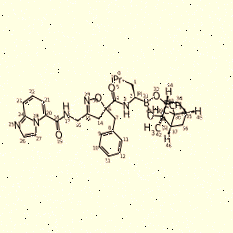 CC(C)C[C@H](NC(=O)C1(Cc2ccccc2)CC(CNC(=O)c2cccc3nccn23)=NO1)B1O[C@@H]2C[C@@H]3C[C@@H](C3(C)C)[C@]2(C)O1